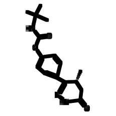 C[C@@H]1CC(=O)NN=C1c1ccc(OC(=O)NC(C)(C)C)cc1